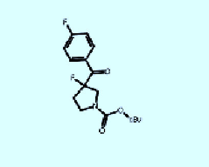 CC(C)(C)OC(=O)N1CCC(F)(C(=O)c2ccc(F)cc2)C1